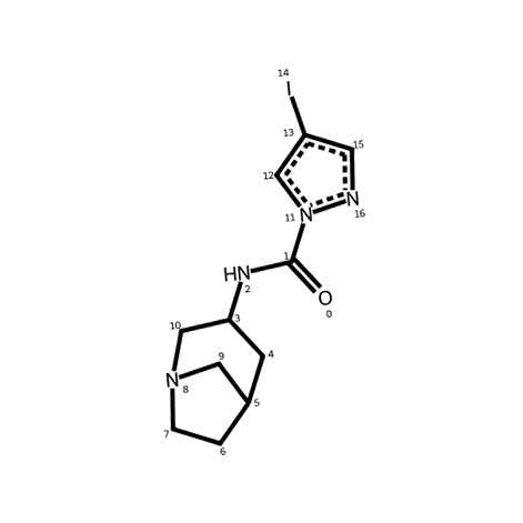 O=C(NC1CC2CCN(C2)C1)n1cc(I)cn1